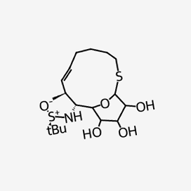 C[C@H]1/C=C/CCCCSC2OC(C(O)C(O)C2O)[C@@H]1N[S@+]([O-])C(C)(C)C